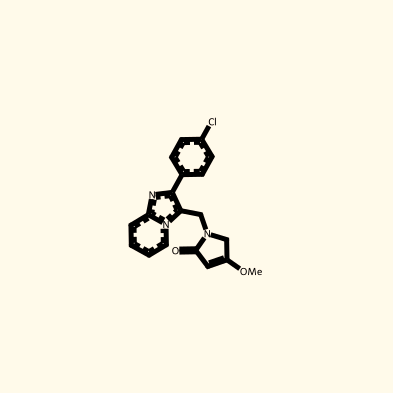 COC1=CC(=O)N(Cc2c(-c3ccc(Cl)cc3)nc3ccccn23)C1